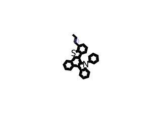 C/C=C/c1cccc2c1sc1c3ccccc3c3c4ccccc4n(-c4ccccc4)c3c21